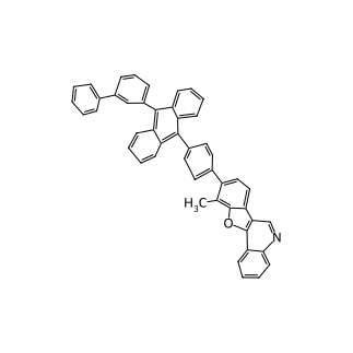 Cc1c(-c2ccc(-c3c4ccccc4c(-c4cccc(-c5ccccc5)c4)c4ccccc34)cc2)ccc2c1oc1c3ccccc3ncc21